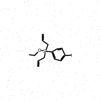 C=CC[Si](CC=C)(OCC)c1ccc(I)cc1